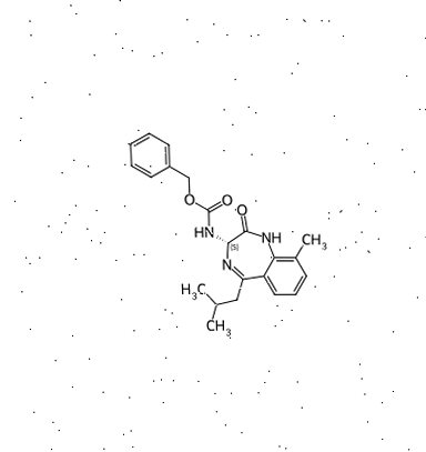 Cc1cccc2c1NC(=O)[C@@H](NC(=O)OCc1ccccc1)N=C2CC(C)C